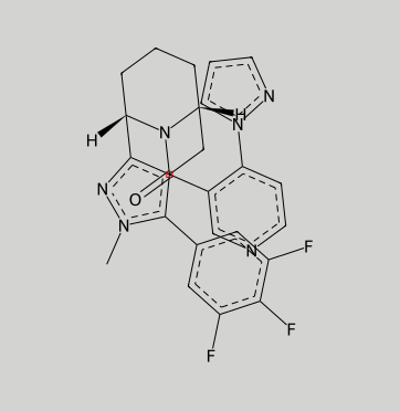 Cn1nc2c(c1-c1cc(F)c(F)c(F)c1)C[C@H]1CCC[C@@H]2N1C(=O)c1cnccc1-n1cccn1